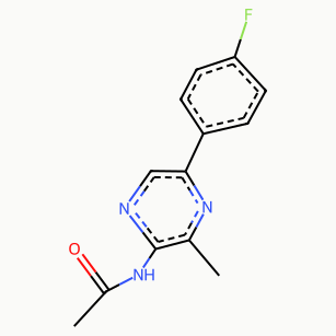 CC(=O)Nc1ncc(-c2ccc(F)cc2)nc1C